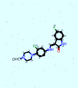 O=CN1CCN(c2ccc(N/C=C3\C(=O)Nc4ccc(F)cc43)cc2F)CC1